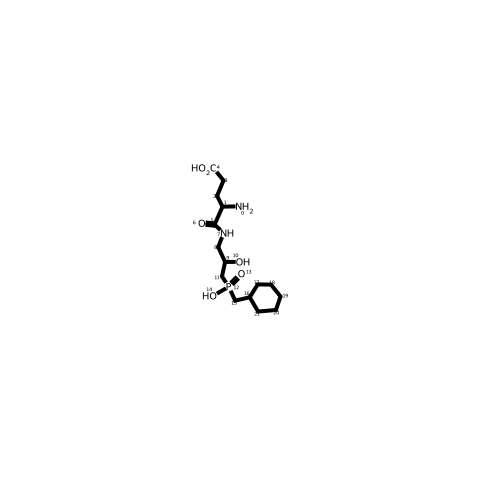 NC(CCC(=O)O)C(=O)NCC(O)CP(=O)(O)CC1CCCCC1